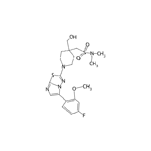 COc1cc(F)ccc1-c1cnc2sc(N3CCC(CO)(CS(=O)(=O)N(C)C)CC3)nn12